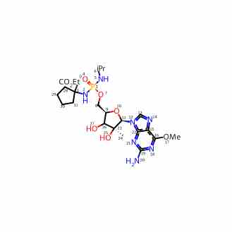 CCOC(=O)C1(NP(=O)(NC(C)C)OC[C@H]2O[C@@H](n3cnc4c(OC)nc(N)nc43)[C@@](C)(O)C2O)CCCC1